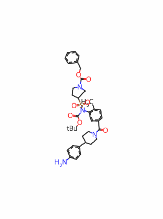 Cc1ccc(C(=O)N2CCC(c3ccc(N)cc3)CC2)cc1N(C(=O)OC(C)(C)C)S(=O)(=O)C1CCN(C(=O)OCc2ccccc2)C1